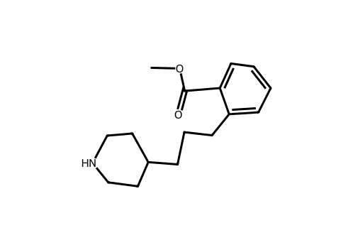 COC(=O)c1ccccc1CCCC1CCNCC1